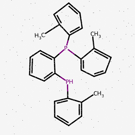 Cc1ccccc1Pc1ccccc1P(c1ccccc1C)c1ccccc1C